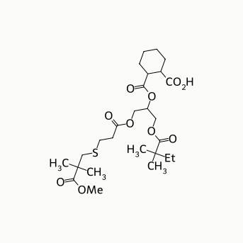 CCC(C)(C)C(=O)OCC(COC(=O)CCSCC(C)(C)C(=O)OC)OC(=O)C1CCCCC1C(=O)O